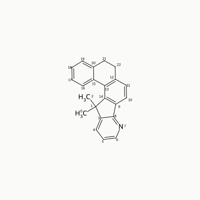 CC1(C)c2cccnc2-c2ccc3c(c21)-c1ccccc1CC3